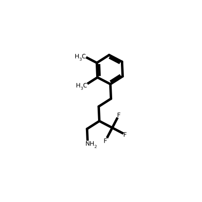 Cc1cccc(CCC(CN)C(F)(F)F)c1C